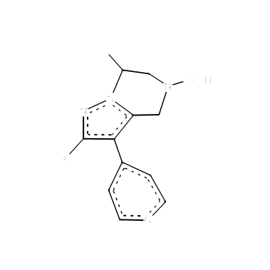 CC1CN(C(=O)O)Cc2c(-c3ccncc3)c(Br)nn21